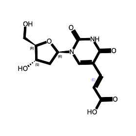 O=C(O)/C=C/c1cn([C@H]2C[C@H](O)[C@@H](CO)O2)c(=O)[nH]c1=O